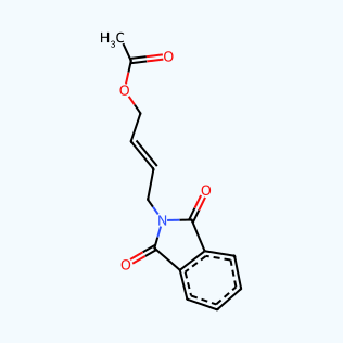 CC(=O)OC/C=C/CN1C(=O)c2ccccc2C1=O